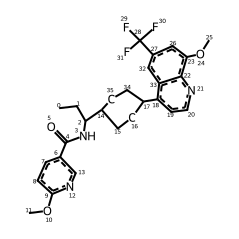 CCC(NC(=O)c1ccc(OC)nc1)C1CCC(c2ccnc3c(OC)cc(C(F)(F)F)cc23)CC1